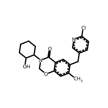 Cc1cc2c(cc1Cc1ccc(Cl)nc1)C(=O)N(C1CCCCC1O)CO2